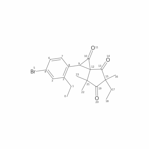 CCc1cc(Br)ccc1C1C(=O)C12C(=O)C(C)(CC)C(=O)C2(C)C